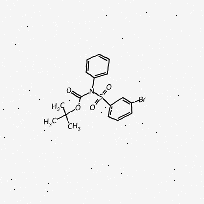 CC(C)(C)OC(=O)N(c1ccccc1)S(=O)(=O)c1cccc(Br)c1